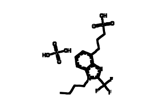 CCCCn1c(C(F)(F)F)nc2c(CCCS(=O)(=O)O)cccc21.O=S(=O)(O)O